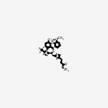 COC(=O)CCc1cnc(C[C@@H]2S[C@@H](c3cccc(OC)c3OC)c3cc(Cl)ccc3-n3c2nnc3C(F)(F)F)s1